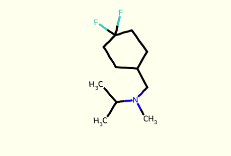 CC(C)N(C)CC1CCC(F)(F)CC1